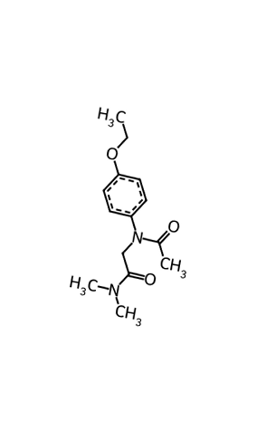 CCOc1ccc(N(CC(=O)N(C)C)C(C)=O)cc1